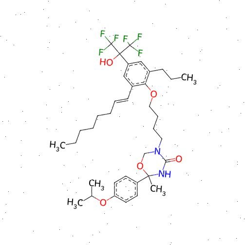 CCCCCC/C=C/c1cc(C(O)(C(F)(F)F)C(F)(F)F)cc(CCC)c1OCCCCN1COC(C)(c2ccc(OC(C)C)cc2)NC1=O